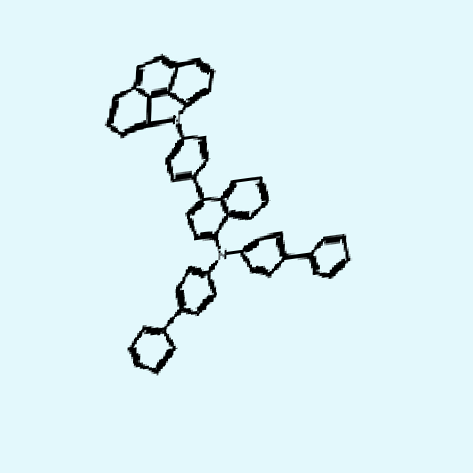 c1ccc(-c2ccc(N(c3ccc(-c4ccccc4)cc3)c3ccc(-c4ccc(-n5c6cccc7ccc8cccc5c8c76)cc4)c4ccccc34)cc2)cc1